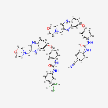 N#Cc1ccc(NC(=O)Nc2ccc(Oc3ccc4ncc(CN5CCOCC5)nc4c3)cc2)cc1.O=C(Nc1ccc(Oc2ccc3ncc(CN4CCOCC4)nc3c2)cc1)Nc1cccc(C(F)(F)F)c1